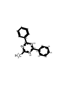 Cc1nc(C2=C=C=CC=C2)nc(-c2ccccc2)n1